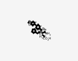 CC(C)(Cc1ccccc1)N(C(=O)c1ccc(-c2ccc3c(c2)OCO3)cc1)[C@@H](CCC(=O)O)C(N)=O